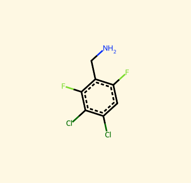 NCc1c(F)cc(Cl)c(Cl)c1F